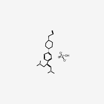 C=CC[C@H]1CC[C@H](c2ccc(C(=CN(C)C)CN(C)C)cc2)CC1.[O-][Cl+3]([O-])([O-])O